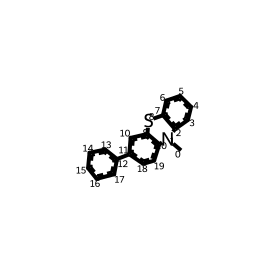 CN1c2ccccc2Sc2cc(-c3ccccc3)ccc21